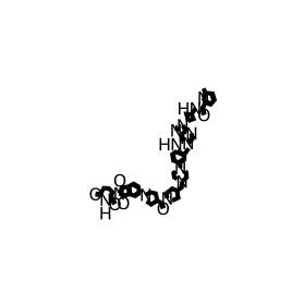 Cc1cccc(C(=O)NC2CC(n3cnc4c(Nc5ccc(N6CCN(CC7CCN(C(=O)C8CCN(c9ccc%10c(c9)C(=O)N([C@H]9CCC(=O)NC9=O)C%10=O)CC8)CC7)CC6)cc5C)ncnc43)C2)n1